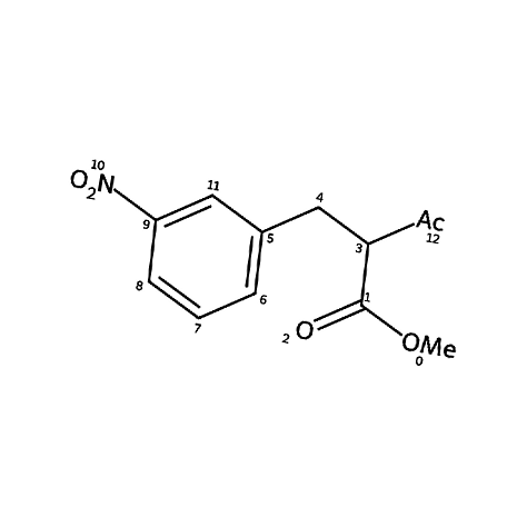 COC(=O)C(Cc1cccc([N+](=O)[O-])c1)C(C)=O